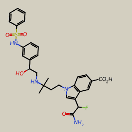 CC(C)(CCn1cc(C(F)C(N)=O)c2cc(C(=O)O)ccc21)NC[C@@H](O)c1cccc(NS(=O)(=O)c2ccccc2)c1